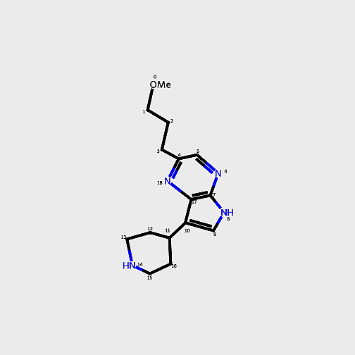 COCCCc1cnc2[nH]cc(C3CCNCC3)c2n1